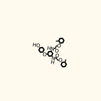 Cc1ccccc1OCC(=O)Nc1cc(NC(=O)COc2ccccc2C)cc(Oc2ccc(O)cc2)c1